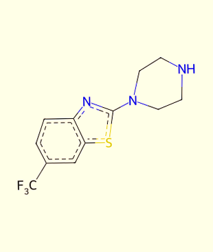 FC(F)(F)c1ccc2nc(N3CCNCC3)sc2c1